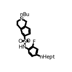 CCCCCCCc1ccc(NS(=O)(=O)c2ccc3c(c2)CCN(CCCC)C3)c(F)c1